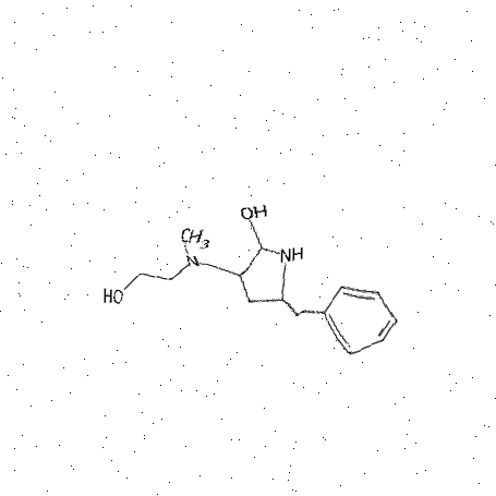 CN(CCO)C1CC(Cc2ccccc2)NC1O